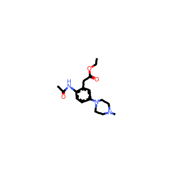 CCOC(=O)Cc1cc(N2CCN(C)CC2)ccc1NC(C)=O